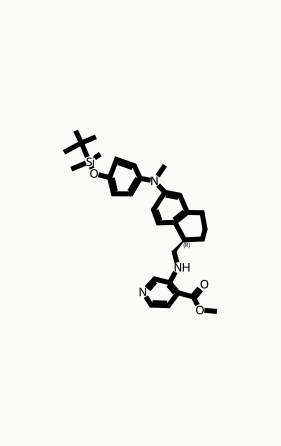 COC(=O)c1ccncc1NC[C@@H]1CCCc2cc(N(C)c3ccc(O[Si](C)(C)C(C)(C)C)cc3)ccc21